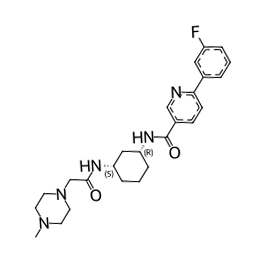 CN1CCN(CC(=O)N[C@H]2CCC[C@@H](NC(=O)c3ccc(-c4cccc(F)c4)nc3)C2)CC1